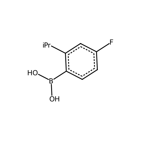 CC(C)c1cc(F)ccc1B(O)O